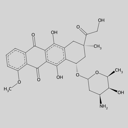 COc1cccc2c1C(=O)c1c(O)c3c(c(O)c1C2=O)C[C@@](C)(C(=O)CO)C[C@@H]3OC1C[C@H](N)[C@H](O)[C@H](C)O1